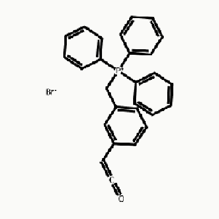 O=C=Cc1cccc(C[P+](c2ccccc2)(c2ccccc2)c2ccccc2)c1.[Br-]